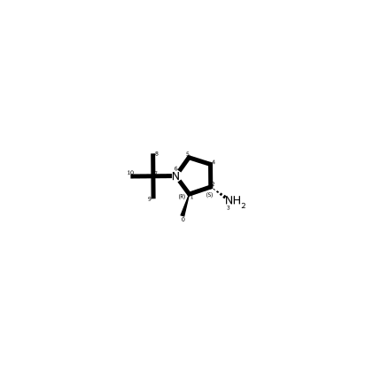 C[C@@H]1[C@@H](N)CCN1C(C)(C)C